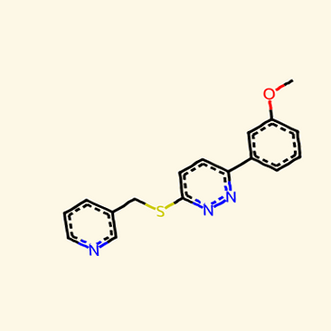 COc1cccc(-c2ccc(SCc3cccnc3)nn2)c1